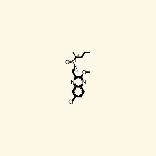 CCC[C@H](C)[S+]([O-])/N=C/c1nc2cc(Cl)ccc2nc1OC